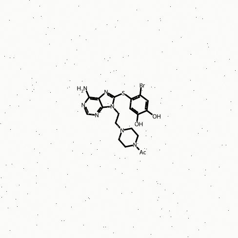 CC(=O)N1CCN(CCn2c(Sc3cc(O)c(O)cc3Br)nc3c(N)ncnc32)CC1